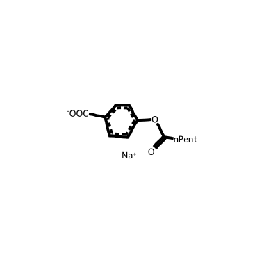 CCCCCC(=O)Oc1ccc(C(=O)[O-])cc1.[Na+]